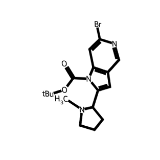 CN1CCCC1c1cc2cnc(Br)cc2n1C(=O)OC(C)(C)C